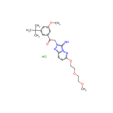 COCCOCCOc1ccc2nn(CC(=O)c3cc(OC)cc(C(C)(C)C)c3)c(=N)n2n1.Cl